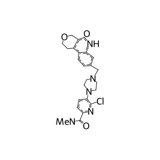 CNC(=O)c1ccc(N2CCN(Cc3ccc4c5c(c(=O)[nH]c4c3)COCC5)CC2)c(Cl)n1